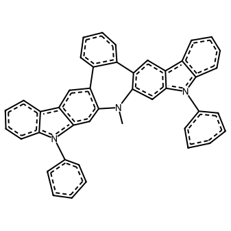 CN1c2cc3c(cc2-c2ccccc2-c2cc4c5ccccc5n(-c5ccccc5)c4cc21)c1ccccc1n3-c1ccccc1